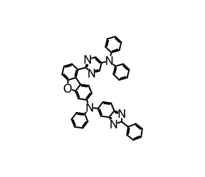 c1ccc(C2N=c3ccc(N(c4ccccc4)c4ccc5c(c4)oc4cccc(-c6ncc(N(c7ccccc7)c7ccccc7)cn6)c45)cc3=N2)cc1